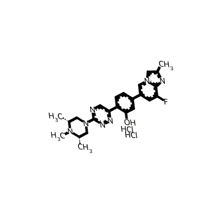 Cc1cn2cc(-c3ccc(-c4cnc(N5C[C@@H](C)N(C)[C@@H](C)C5)nn4)c(O)c3)cc(F)c2n1.Cl.Cl